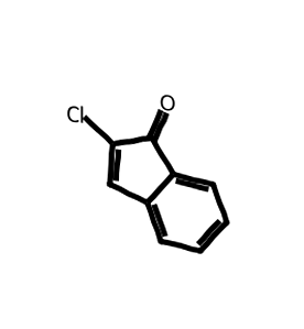 O=C1C(Cl)=Cc2ccccc21